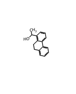 CC(O)c1cccc2c1CCc1ccccc1-2